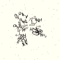 CC(NS(=O)(=O)C(F)(F)F)[C@H]1C(=O)N2C(C(=O)O)=C(S[C@@H]3CN[C@H](CNS(N)(=O)=O)C3)[C@H](C)[C@H]12